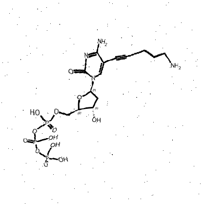 NCCCC#Cc1cn([C@H]2C[C@H](O)[C@@H](COP(=O)(O)OP(=O)(O)OP(=O)(O)O)O2)c(=O)nc1N